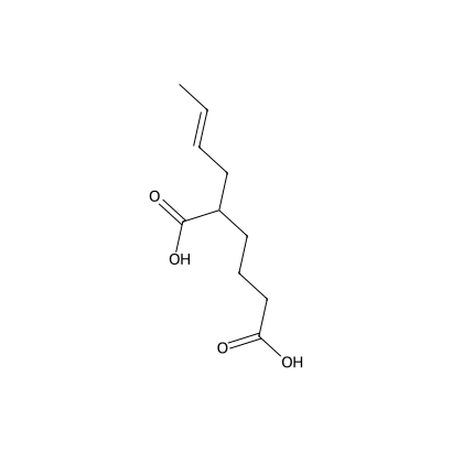 CC=CCC(CCCC(=O)O)C(=O)O